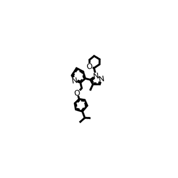 Cc1cnn(C2CCCCO2)c1-c1cccnc1COc1ccc(C(C)C)cc1